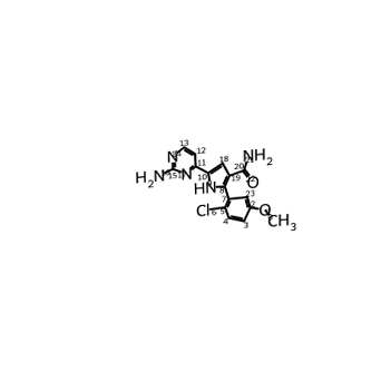 COc1ccc(Cl)c(-c2[nH]c(-c3ccnc(N)n3)cc2C(N)=O)c1